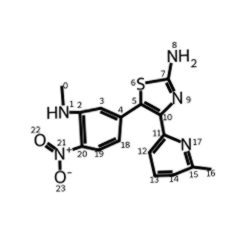 CNc1cc(-c2sc(N)nc2-c2cccc(C)n2)ccc1[N+](=O)[O-]